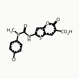 CN(C(=O)Nc1cc2oc(=O)c(C(=O)O)cc2s1)c1ccc(Cl)cc1